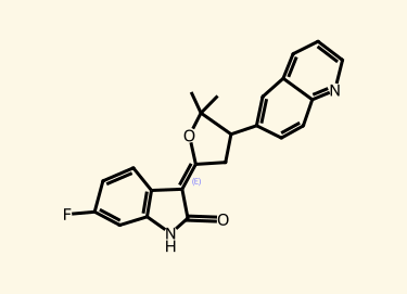 CC1(C)O/C(=C2/C(=O)Nc3cc(F)ccc32)CC1c1ccc2ncccc2c1